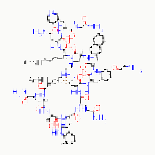 CC(=O)NCCCC[C@H](NC(=O)C(C)(CCCCN)NC(=O)[C@H](Cc1ccc2ccccc2c1)NC(=O)[C@H](Cc1ccc(OCCN)cc1)NC(=O)[C@@H]1CSCC[C@H](NC(C)=O)C(=O)N[C@@H](CCC(N)=O)C(=O)N[C@@H]([C@@H](C)O)C(=O)N[C@@H](Cc2c[nH]c3c(C)cccc23)C(=O)N[C@@H](CCC(N)=O)C(=O)N1)C(=O)N[C@@H](CC(N)=O)C(=O)N[C@@H](Cc1cccnc1)C(=O)N(C)CC(N)=O